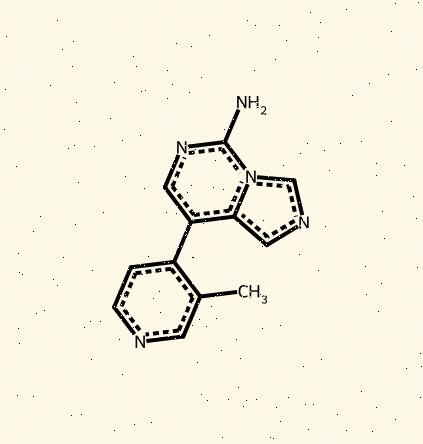 Cc1cnccc1-c1cnc(N)n2cncc12